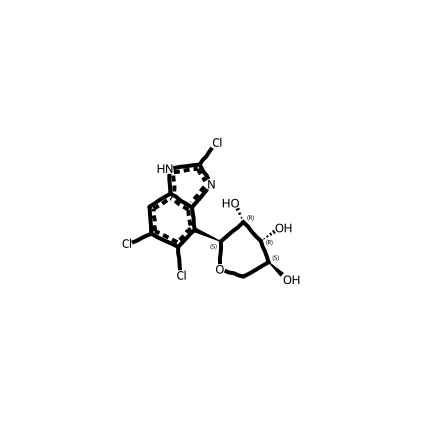 O[C@@H]1[C@H](O)[C@@H](O)CO[C@H]1c1c(Cl)c(Cl)cc2[nH]c(Cl)nc12